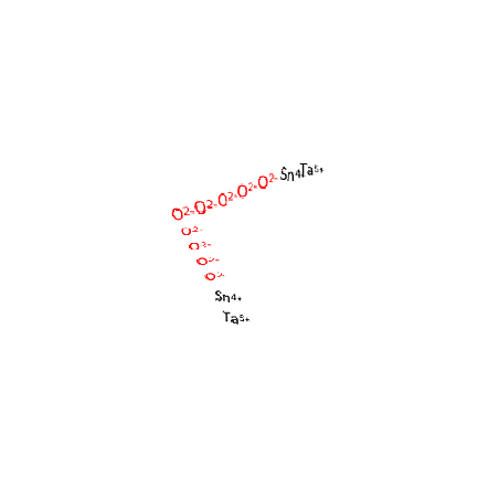 [O-2].[O-2].[O-2].[O-2].[O-2].[O-2].[O-2].[O-2].[O-2].[Sn+4].[Sn+4].[Ta+5].[Ta+5]